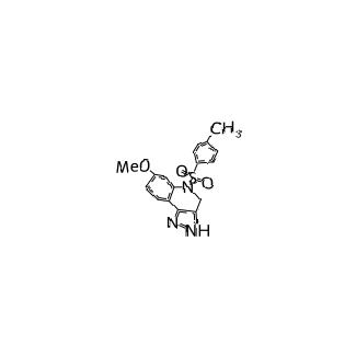 COc1ccc2c(c1)N(S(=O)(=O)c1ccc(C)cc1)Cc1c[nH]nc1-2